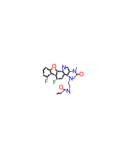 C=CC(=O)N(C)CCN1CC(=O)N(C)c2cnc3c(cc(F)c4c3oc3cccc(F)c34)c21